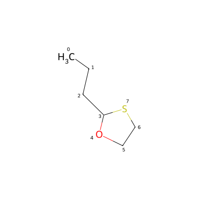 CCCC1OCCS1